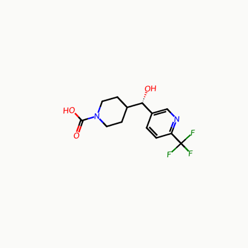 O=C(O)N1CCC([C@H](O)c2ccc(C(F)(F)F)nc2)CC1